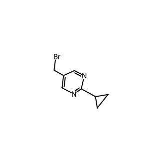 BrCc1cnc(C2CC2)nc1